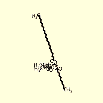 CCCCCCCCCCCCCCCCCCCCCCCCC(=O)OC(COC(=O)CCCCCCCCCC)COP(=O)(O)OCC[N+](C)(C)C